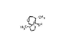 C[C@@H]1CCC[C@@]12COCC[C@H](C)N2S